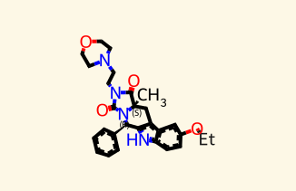 CCOc1ccc2[nH]c3c(c2c1)C[C@@]1(C)C(=O)N(CCN2CCOCC2)C(=O)N1[C@@H]3c1ccccc1